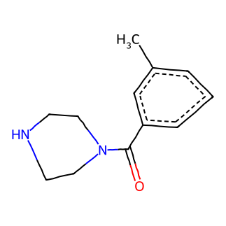 Cc1cccc(C(=O)N2CCNCC2)c1